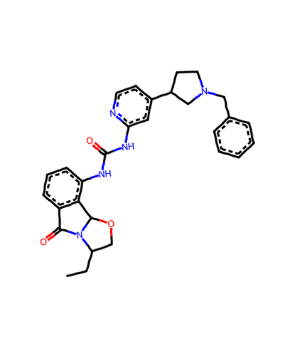 CCC1COC2c3c(NC(=O)Nc4cc(C5CCN(Cc6ccccc6)C5)ccn4)cccc3C(=O)N12